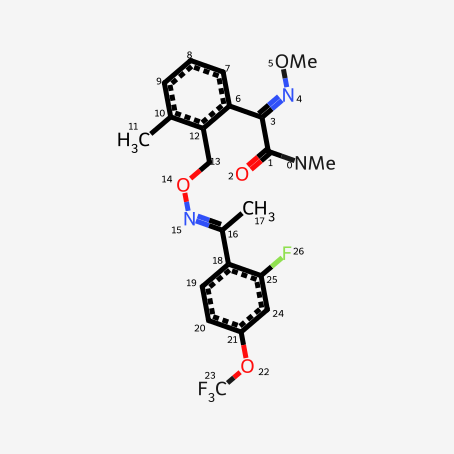 CNC(=O)/C(=N/OC)c1cccc(C)c1CO/N=C(\C)c1ccc(OC(F)(F)F)cc1F